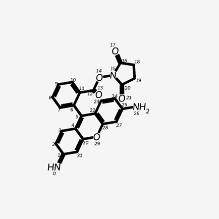 N=c1ccc2c(-c3ccccc3C(=O)ON3C(=O)CCC3=O)c3ccc(N)cc3oc-2c1